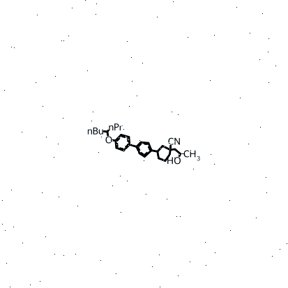 CCCCC(CCC)Oc1ccc(-c2ccc(C3CCCC(C#N)(C[C@H](C)O)C3)cc2)cc1